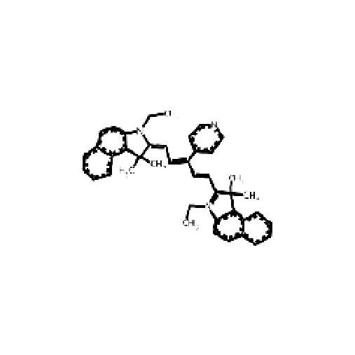 CCN1/C(=C/C=C(/C=C/C2=[N+](CC)c3ccc4ccccc4c3C2(C)C)c2ccncc2)C(C)(C)c2c1ccc1ccccc21